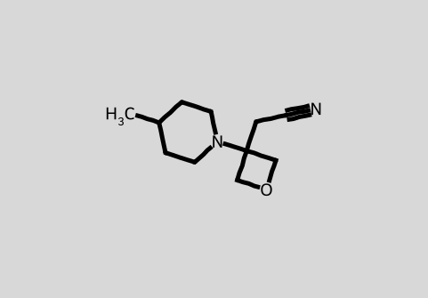 CC1CCN(C2(CC#N)COC2)CC1